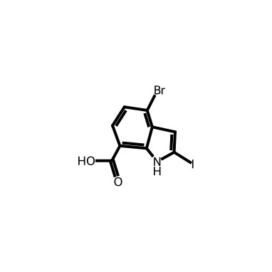 O=C(O)c1ccc(Br)c2cc(I)[nH]c12